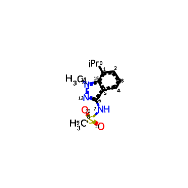 CC(C)c1cccc2c(NS(C)(=O)=O)nn(C)c12